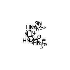 Cc1nsc(Nc2cnc3[nH]cc(C(=O)NC(C)(C)C)c3n2)n1